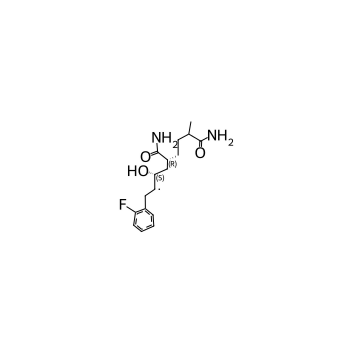 CC(CC[C@H](C[C@@H](O)[CH]Cc1ccccc1F)C(N)=O)C(N)=O